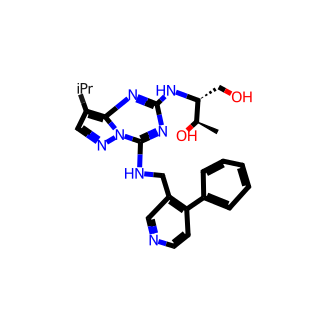 CC(C)c1cnn2c(NCc3cnccc3-c3ccccc3)nc(N[C@H](CO)[C@@H](C)O)nc12